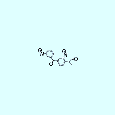 CC(C=O)c1ccc(C(=O)c2cccc(N=O)c2)cc1N=O